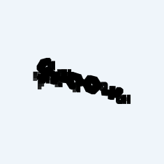 C=C(O)C(C)(C)COc1ccc(-c2ccc(-c3ncc(-c4ncccc4C(F)(F)F)[nH]3)cn2)cc1